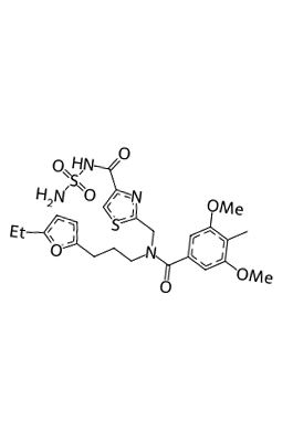 CCc1ccc(CCCN(Cc2nc(C(=O)NS(N)(=O)=O)cs2)C(=O)c2cc(OC)c(C)c(OC)c2)o1